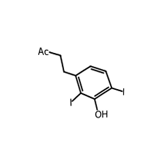 CC(=O)CCc1ccc(I)c(O)c1I